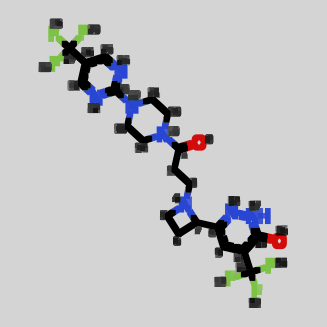 O=C(CCN1CCC1c1cc(C(F)(F)F)c(=O)[nH]n1)N1CCN(c2ncc(C(F)(F)F)cn2)CC1